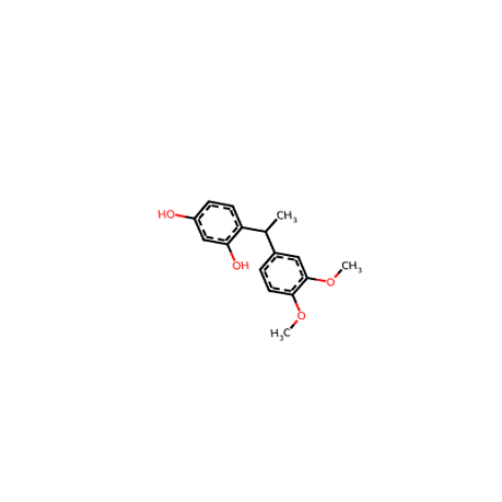 COc1ccc(C(C)c2ccc(O)cc2O)cc1OC